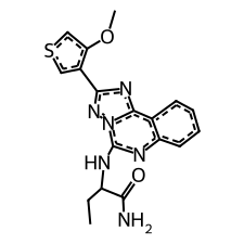 CCC(Nc1nc2ccccc2c2nc(-c3cscc3OC)nn12)C(N)=O